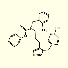 N#Cc1ccc(Cn2cncc2CCCN(Cc2ccccc2C(F)(F)F)C(=S)Nc2ccccc2)cc1